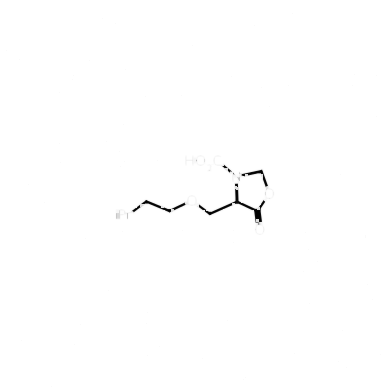 CC(C)CCOCC1C(=O)OCN1C(=O)O